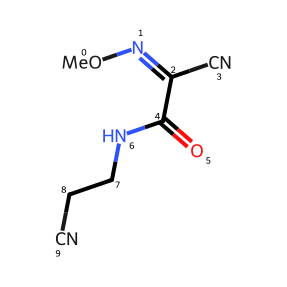 CO/N=C(/C#N)C(=O)NCCC#N